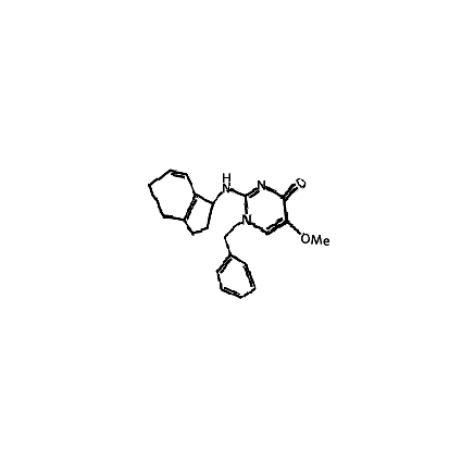 COc1cn(Cc2ccccc2)c(NC2CCC3=C2C=CCC3)nc1=O